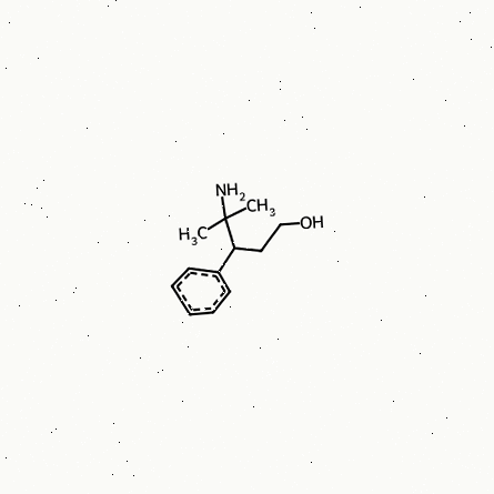 CC(C)(N)C(CCO)c1ccccc1